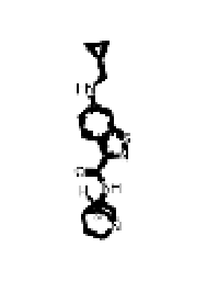 O=C(N[C@@H]1CN2CCC1CC2)c1nsc2cc(NCC3CC3)ccc12